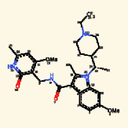 COc1ccc2c(C(=O)NCc3c(OC)cc(C)[nH]c3=O)c(C)n([C@@H](C)C3CCN(CC(F)(F)F)CC3)c2c1